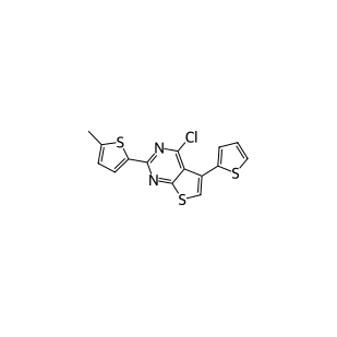 Cc1ccc(-c2nc(Cl)c3c(-c4cccs4)csc3n2)s1